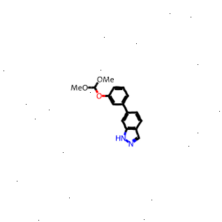 COC(OC)Oc1cccc(-c2ccc3cn[nH]c3c2)c1